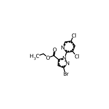 CCOC(=O)c1cc(Br)nn1-c1ncc(Cl)cc1Cl